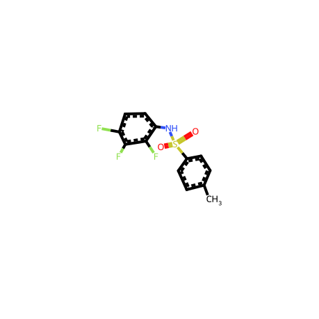 Cc1ccc(S(=O)(=O)Nc2ccc(F)c(F)c2F)cc1